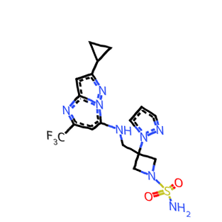 NS(=O)(=O)N1CC(CNc2cc(C(F)(F)F)nc3cc(C4CC4)nn23)(n2cccn2)C1